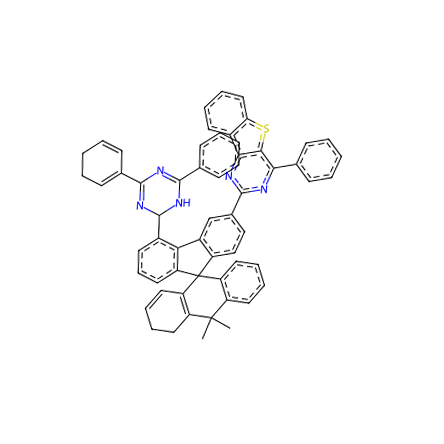 CC1(C)C2=C(C=CCC2)C2(c3ccc(-c4nc(-c5ccccc5)c5sc6ccccc6c5n4)cc3-c3c(C4N=C(C5=CCCC=C5)N=C(c5ccccc5)N4)cccc32)c2ccccc21